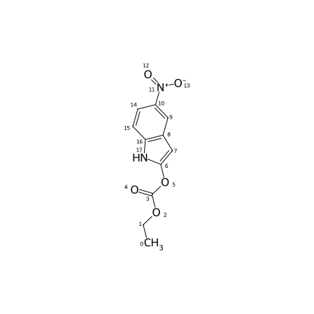 CCOC(=O)Oc1cc2cc([N+](=O)[O-])ccc2[nH]1